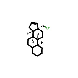 BrC[C@@]12C=CC[C@H]1[C@@H]1CCC3CCCC[C@@H]3[C@H]1CC2